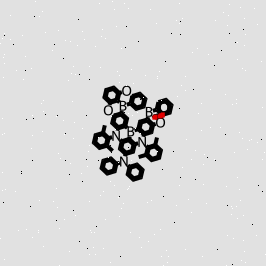 Cc1cccc(C)c1N1c2cc3c(cc2B2c4cc5c(cc4N(c4c(C)cccc4C)c4cc(N(c6ccccc6)c6ccccc6)cc1c42)Oc1cccc2c1B5c1ccccc1O2)B1c2ccccc2Oc2cccc(c21)O3